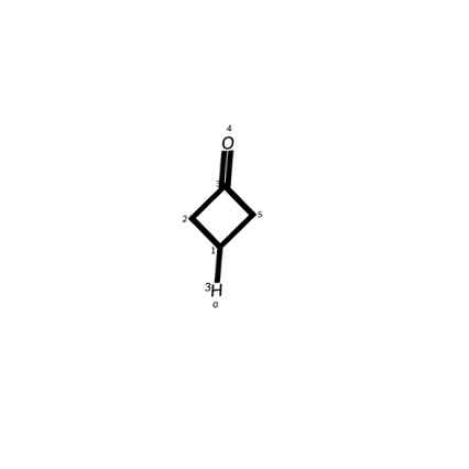 [3H]C1CC(=O)C1